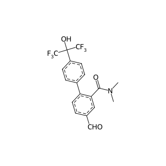 CN(C)C(=O)c1cc(C=O)ccc1-c1ccc(C(O)(C(F)(F)F)C(F)(F)F)cc1